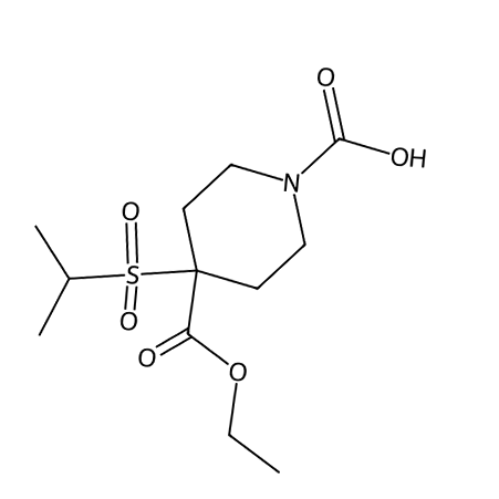 CCOC(=O)C1(S(=O)(=O)C(C)C)CCN(C(=O)O)CC1